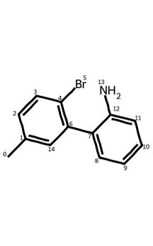 Cc1ccc(Br)c(-c2ccccc2N)c1